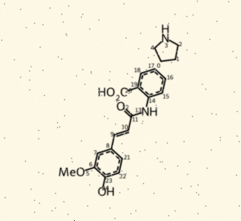 C1CCNC1.COc1cc(C=CC(=O)Nc2ccccc2C(=O)O)ccc1O